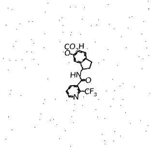 O=C(O)Oc1ccc2c(c1)C(NC(=O)c1cccnc1C(F)(F)F)CC2